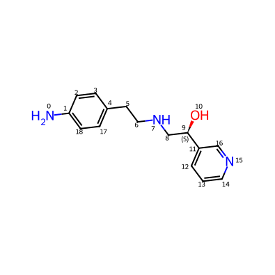 Nc1ccc(CCNC[C@@H](O)c2cccnc2)cc1